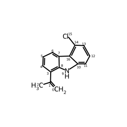 C=C(C)c1cccc2c1[nH]c1cccc(Cl)c12